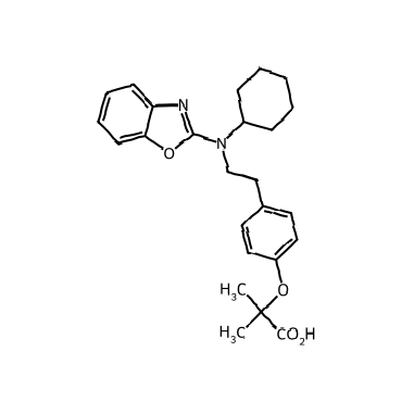 CC(C)(Oc1ccc(CCN(c2nc3ccccc3o2)C2CCCCC2)cc1)C(=O)O